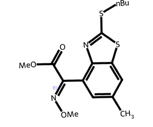 CCCCSc1nc2c(/C(=N\OC)C(=O)OC)cc(C)cc2s1